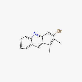 Cc1c(Br)cc2nc3ccccc3cc2c1C